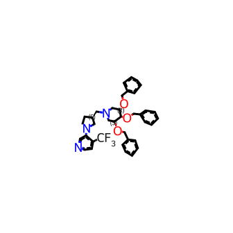 FC(F)(F)c1ccncc1N1CC[C@@H](CN2C[C@H](OCc3ccccc3)C(OCc3ccccc3)[C@H](OCc3ccccc3)C2)C1